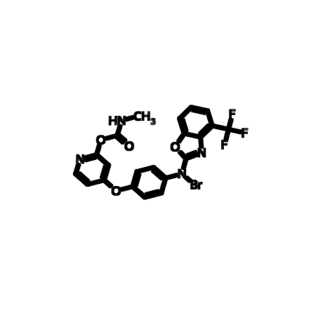 CNC(=O)Oc1cc(Oc2ccc(N(Br)c3nc4c(C(F)(F)F)cccc4o3)cc2)ccn1